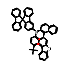 CC(C)(C)c1ccc(N(c2ccc3c(c2)-c2ccccc2C32c3ccccc3-c3ccccc32)c2ccc3ccccc3c2-c2ccc3c(c2)oc2ccccc23)cc1